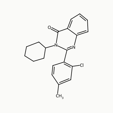 Cc1ccc(-c2nc3ccccc3c(=O)n2C2CCCCC2)c(Cl)c1